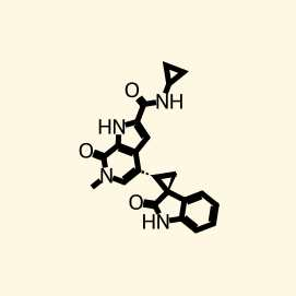 Cn1cc([C@@H]2C[C@@]23C(=O)Nc2ccccc23)c2cc(C(=O)NC3CC3)[nH]c2c1=O